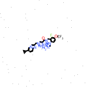 N/C(=C\N(N)Cc1cn2cc(C3CC3)ccc2n1)C(=O)NCc1c(-n2cnnn2)ccc(OC(F)(F)F)c1F